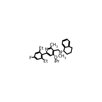 CCc1cc(F)cc(CC)c1-c1cc(OC(C)C)c(CN(C)[C@H]2CCCc3ccccc32)c(C)n1